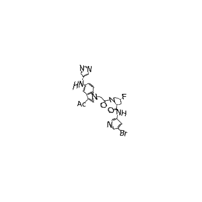 CC(=O)c1cn(CC(=O)N2C[C@H](F)C[C@H]2C(=O)Nc2cncc(Br)c2)c2ccc(Nc3cncnc3)cc12